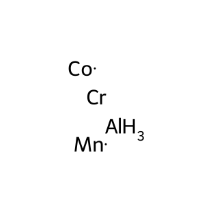 [AlH3].[Co].[Cr].[Mn]